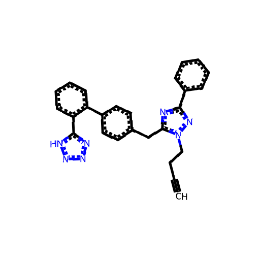 C#CCCn1nc(-c2ccccc2)nc1Cc1ccc(-c2ccccc2-c2nnn[nH]2)cc1